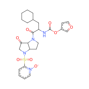 O=C(NC(CC1CCCCC1)C(=O)N1CCC2C1C(=O)CN2S(=O)(=O)c1cccc[n+]1[O-])Oc1ccoc1